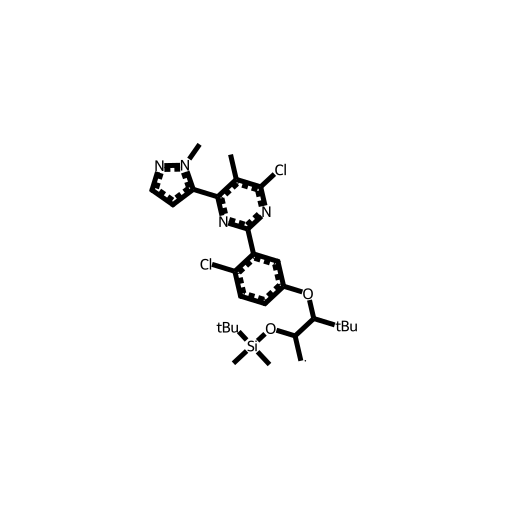 [CH2]C(O[Si](C)(C)C(C)(C)C)C(Oc1ccc(Cl)c(-c2nc(Cl)c(C)c(-c3ccnn3C)n2)c1)C(C)(C)C